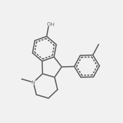 Cc1cccc(C2c3cc(O)ccc3C3C2CCCN3C)c1